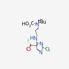 CC(C)(C)N(CCCNc1nc(Cl)ncc1C(=O)F)C(=O)O